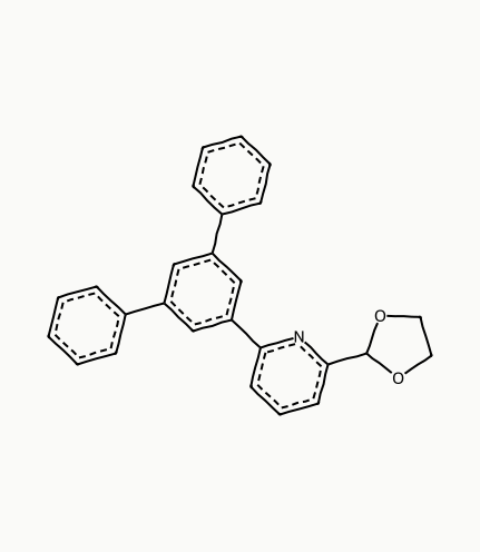 c1ccc(-c2cc(-c3ccccc3)cc(-c3cccc(C4OCCO4)n3)c2)cc1